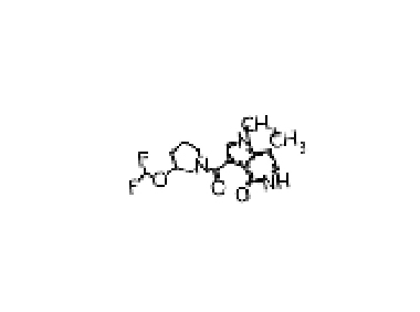 Cc1c[nH]c(=O)c2c(C(=O)N3CCCC(OC(F)F)C3)cn(C)c12